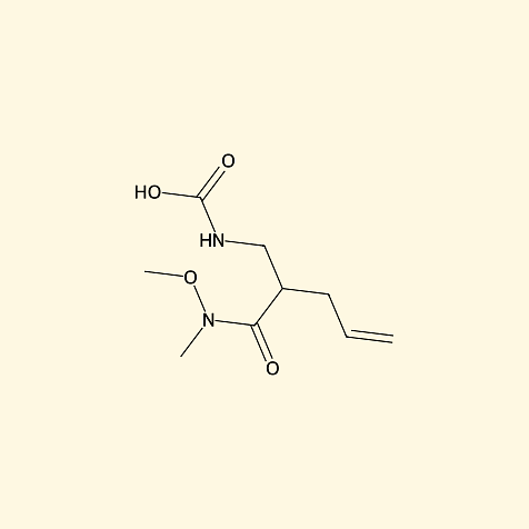 C=CCC(CNC(=O)O)C(=O)N(C)OC